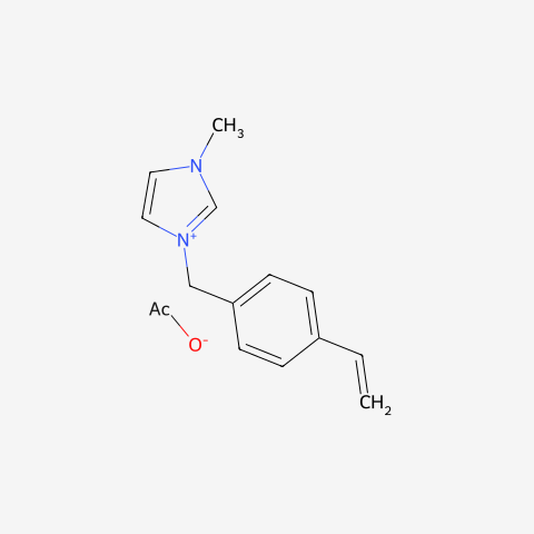 C=Cc1ccc(C[n+]2ccn(C)c2)cc1.CC(=O)[O-]